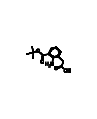 CC(C)(C)OC(=O)c1cccc(CC(=O)O)c1N